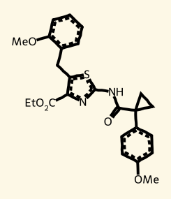 CCOC(=O)c1nc(NC(=O)C2(c3ccc(OC)cc3)CC2)sc1Cc1ccccc1OC